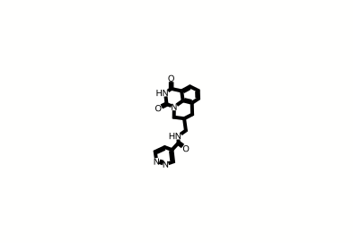 O=C(NCC1Cc2cccc3c(=O)[nH]c(=O)n(c23)C1)c1ccnnc1